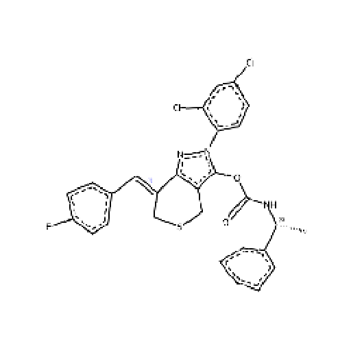 C[C@@H](NC(=O)Oc1c2c(nn1-c1ccc(Cl)cc1Cl)/C(=C/c1ccc(F)cc1)CSC2)c1ccccc1